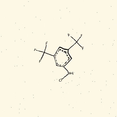 FC(F)(F)c1cc(BCl)cc(C(F)(F)F)c1